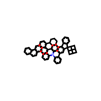 c1cc(-c2cccc3c2ccc2ccccc23)cc(N(c2ccccc2-c2ccc3c(c2)C2(c4ccccc4-3)C3CC4CC5CC2C453)c2ccccc2-c2cccc3cccc(C4CCCCC4)c23)c1